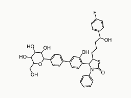 O=C1SC(CCCC(O)c2ccc(F)cc2)C(c2ccc(-c3ccc(C4OC(CO)C(O)C(O)C4O)cc3)cc2O)N1c1ccccc1